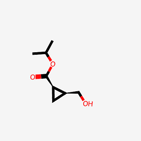 CC(C)OC(=O)[C@@H]1C[C@@H]1CO